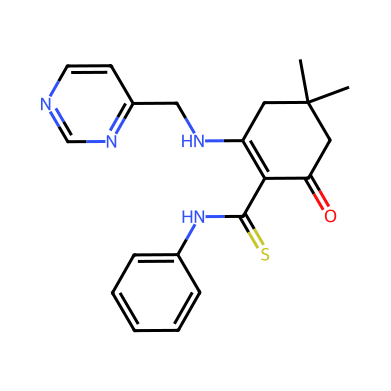 CC1(C)CC(=O)C(C(=S)Nc2ccccc2)=C(NCc2ccncn2)C1